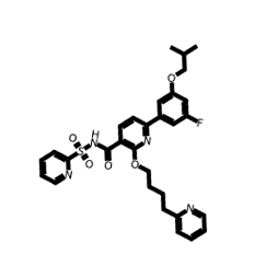 CC(C)COc1cc(F)cc(-c2ccc(C(=O)NS(=O)(=O)c3ccccn3)c(OCCCCc3ccccn3)n2)c1